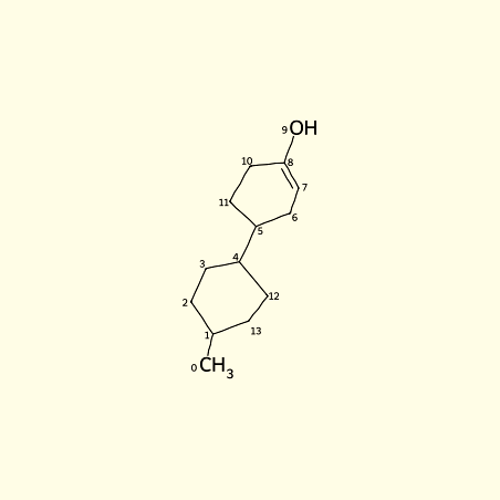 CC1CCC(C2CC=C(O)CC2)CC1